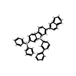 c1ccc(-c2cccc(-n3c4cc(-c5ccc6ccccc6c5)ccc4c4ccc(N(c5ccccc5)c5ccccc5)cc43)c2)cc1